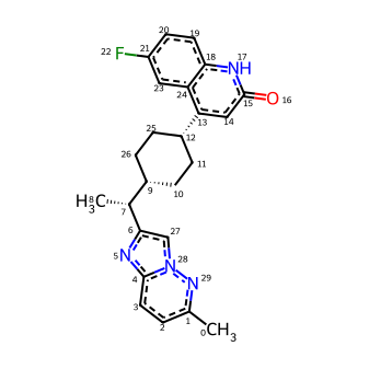 Cc1ccc2nc([C@H](C)[C@H]3CC[C@@H](c4cc(=O)[nH]c5ccc(F)cc54)CC3)cn2n1